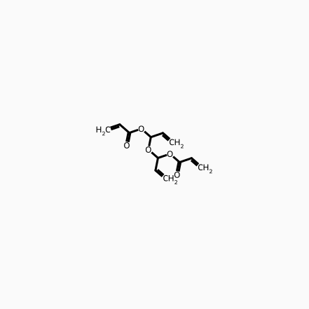 C=CC(=O)OC(C=C)OC(C=C)OC(=O)C=C